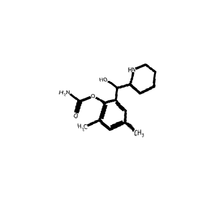 Cc1cc(C)c(OC(N)=O)c(C(O)C2CCCCN2)c1